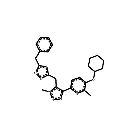 Cc1nc(-c2nnn(C)c2Cc2noc(Cc3ccccc3)n2)ccc1OC1CCCCC1